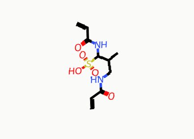 C=CC(=O)NCC(C)C(NC(=O)C=C)S(=O)(=O)O